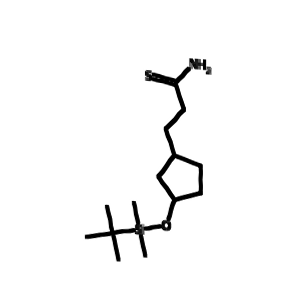 CC(C)(C)[Si](C)(C)OC1CCC(CCC(N)=S)C1